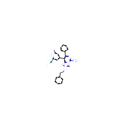 Cc1cc(-c2c(-c3ccccc3)nc(N)[n+]3c(=O)n(CCc4ccccc4)[nH]c23)cc(C(F)(F)F)n1